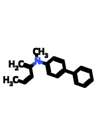 C=C(/C=C\C)N(C)c1ccc(-c2ccccc2)cc1